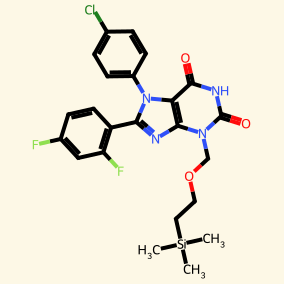 C[Si](C)(C)CCOCn1c(=O)[nH]c(=O)c2c1nc(-c1ccc(F)cc1F)n2-c1ccc(Cl)cc1